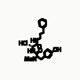 CN[C@@H](Cc1ccc(O)cc1)C(=O)N[C@H](C)C(=O)NCCCc1ccccc1.Cl